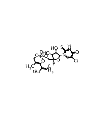 C/C=C(\C1=C(C)COP(=O)(OC[C@@]2(F)O[C@@H](n3cc(Cl)c(=O)[nH]c3=S)[C@H](O)[C@@H]2O)O1)C(C)(C)C